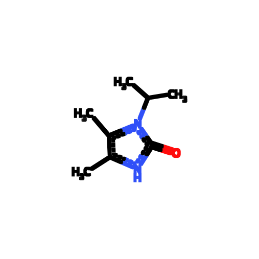 Cc1[nH]c(=O)n(C(C)C)c1C